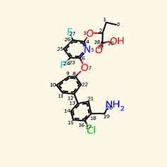 CCC(Oc1nc(Oc2cccc(-c3ccc(Cl)c(CN)c3)c2)c(F)cc1F)C(=O)O